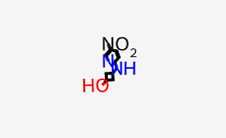 O=[N+]([O-])c1ccc(NC2CC(O)C2)nc1